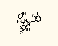 O=c1[nH]c2nc(SCc3cccc(F)c3F)nc(N[C@@H]3CCNC3)c2s1